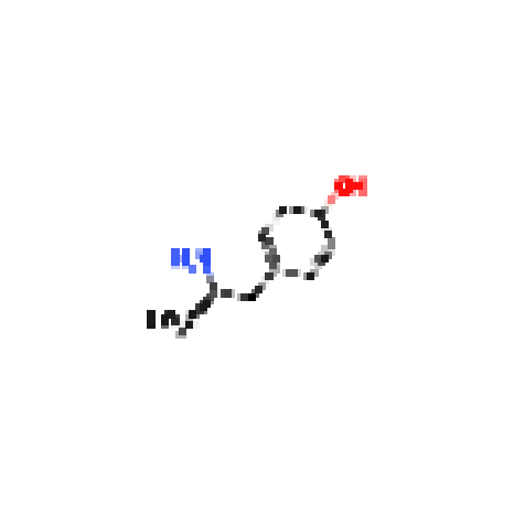 N[C@@H](CC1=CCC(O)C=C1)C(=O)O